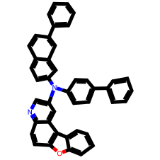 c1ccc(-c2ccc(N(c3ccc4ccc(-c5ccccc5)cc4c3)c3cnc4ccc5oc6ccccc6c5c4c3)cc2)cc1